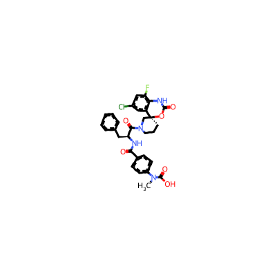 CN(C(=O)O)c1ccc(C(=O)N[C@@H](Cc2ccccc2)C(=O)N2CCC[C@@]3(C2)OC(=O)Nc2c(F)cc(Cl)cc23)cc1